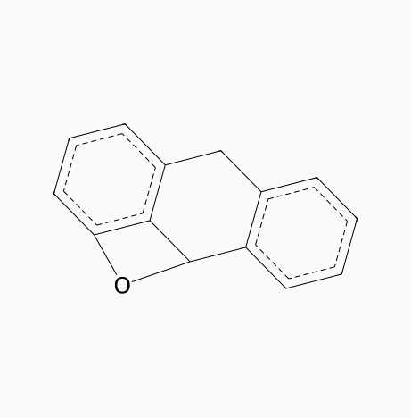 c1ccc2c(c1)Cc1cccc3c1C2O3